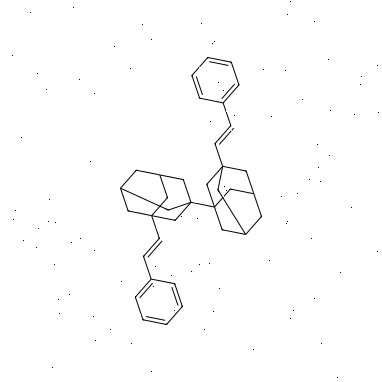 C(=C\C12CC3CC(C1)CC(C14CC5CC(CC(/C=C/c6ccccc6)(C5)C1)C4)(C3)C2)/c1ccccc1